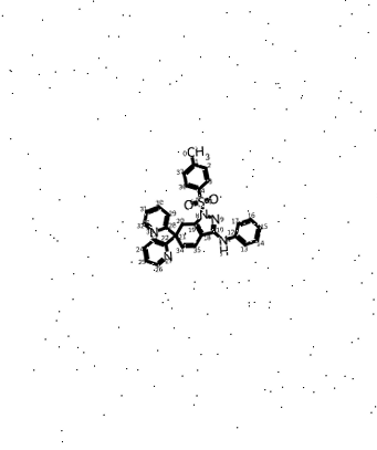 Cc1ccc(S(=O)(=O)n2nc(Nc3ccccc3)c3c2CC(c2ccccn2)(c2ccccn2)C=C3)cc1